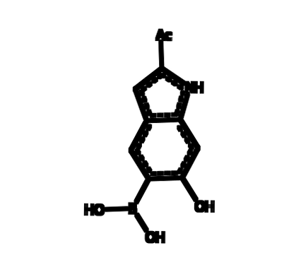 CC(=O)c1cc2cc(B(O)O)c(O)cc2[nH]1